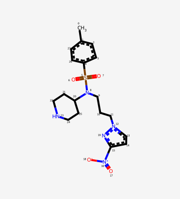 Cc1ccc(S(=O)(=O)N(CCCn2ccc([N+](=O)[O-])n2)C2CCNCC2)cc1